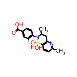 Cc1ccc2c(n1)CC(C)N(c1ccc(C(=O)O)cc1F)S2(O)O